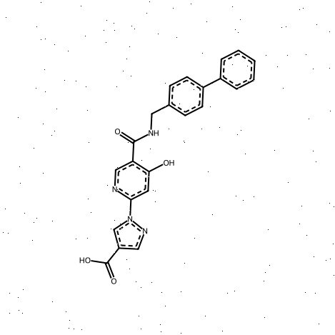 O=C(O)c1cnn(-c2cc(O)c(C(=O)NCc3ccc(-c4ccccc4)cc3)cn2)c1